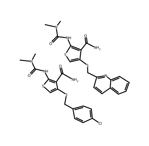 CN(C)C(=O)Nc1scc(SCc2ccc(Cl)cc2)c1C(N)=O.CN(C)C(=O)Nc1scc(SCc2ccc3ccccc3n2)c1C(N)=O